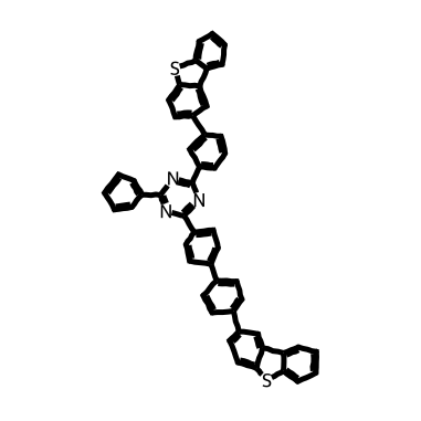 c1ccc(-c2nc(-c3ccc(-c4ccc(-c5ccc6sc7ccccc7c6c5)cc4)cc3)nc(-c3cccc(-c4ccc5sc6ccccc6c5c4)c3)n2)cc1